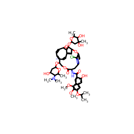 COc1c(OC(C)C)cc2cc(O)c(C(=O)NC3Cc4ccc(c(Cl)n4)OC4C=C5C#C/C(=C\C#CC6OC56C4OC4CC(C)(O)C(O)C(C)O4)C(OC4CC(O)C(N(C)C)C(C)O4)COC3=O)cc2c1OC